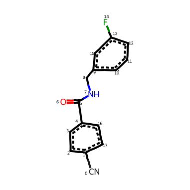 N#Cc1ccc(C(=O)NCc2[c]ccc(F)c2)cc1